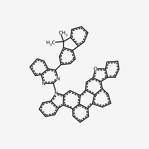 CC1(C)c2ccccc2-c2ccc(-c3nc(-n4c5ccccc5c5c6cccc7c8cccc9c%10c(cc(c(cc54)c76)c89)oc4ccccc4%10)nc4ccccc34)cc21